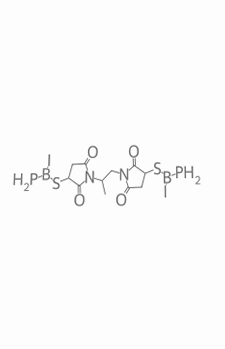 CC(CN1C(=O)CC(SB(P)I)C1=O)N1C(=O)CC(SB(P)I)C1=O